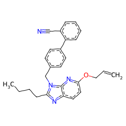 C=CCOc1ccc2nc(CCCC)n(Cc3ccc(-c4ccccc4C#N)cc3)c2n1